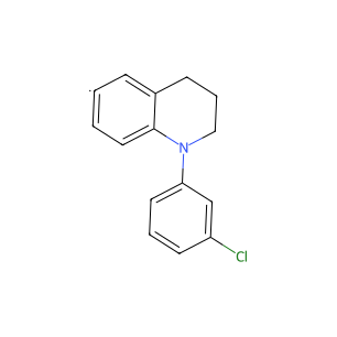 Clc1cccc(N2CCCc3c[c]ccc32)c1